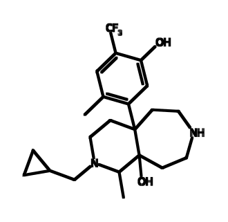 Cc1cc(C(F)(F)F)c(O)cc1C12CCNCCC1(O)C(C)N(CC1CC1)CC2